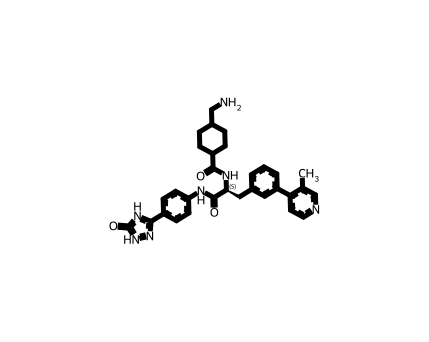 Cc1cnccc1-c1cccc(C[C@H](NC(=O)C2CCC(CN)CC2)C(=O)Nc2ccc(-c3n[nH]c(=O)[nH]3)cc2)c1